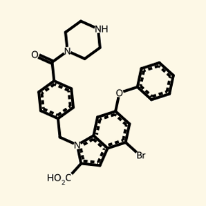 O=C(O)c1cc2c(Br)cc(Oc3ccccc3)cc2n1Cc1ccc(C(=O)N2CCNCC2)cc1